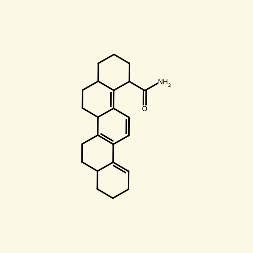 NC(=O)C1CCCC2CCC3C(=C21)C=CC1=C3CCC2CCCC=C12